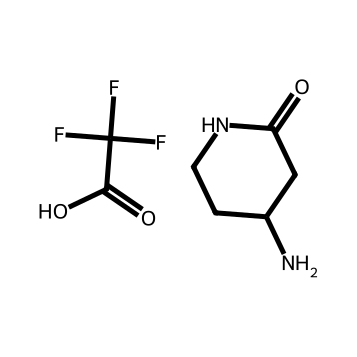 NC1CCNC(=O)C1.O=C(O)C(F)(F)F